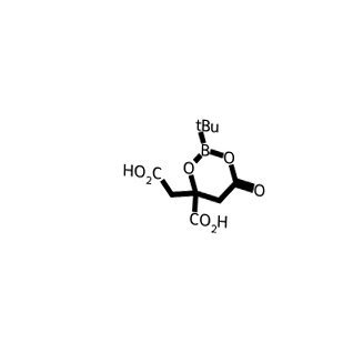 CC(C)(C)B1OC(=O)CC(CC(=O)O)(C(=O)O)O1